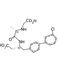 C[C@H](NCC(=O)O)C(=O)N[C@@H](CC(=O)O)Cc1ccc(-c2cccc(Cl)c2)cc1